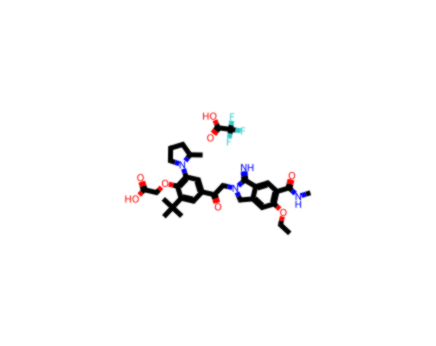 CCOc1cc2c(cc1C(=O)NC)C(=N)N(CC(=O)c1cc(N3CCCC3C)c(OCC(=O)O)c(C(C)(C)C)c1)C2.O=C(O)C(F)(F)F